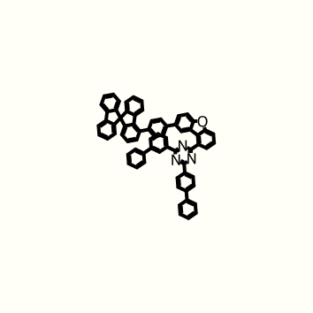 c1ccc(-c2ccc(-c3nc(-c4cccc(-c5ccccc5)c4)nc(-c4cccc5oc6ccc(-c7ccc(-c8cccc9c8-c8ccccc8C98c9ccccc9-c9ccccc98)cc7)cc6c45)n3)cc2)cc1